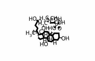 C[C@H](CCC(=O)O)[C@H]1CC[C@H]2[C@@H]3[C@H](O)C[C@@H]4C[C@H](O)CC[C@]4(C)[C@H]3C[C@H](O)[C@]12C.C[N+](C)(C)CC(O)P(=O)(O)O